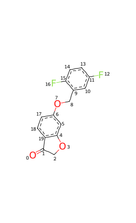 O=C1COc2cc(OCc3cc(F)ccc3F)ccc21